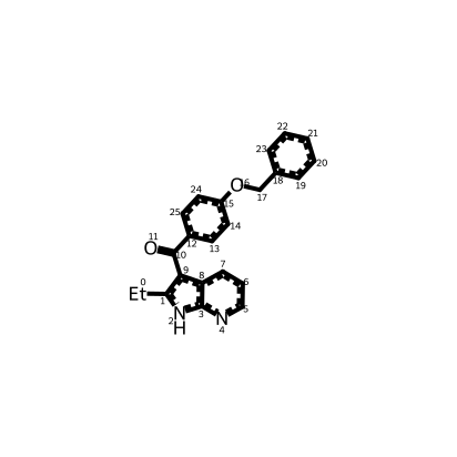 CCc1[nH]c2ncccc2c1C(=O)c1ccc(OCc2ccccc2)cc1